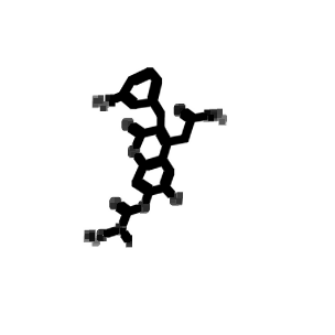 CN(I)C(=O)Oc1cc2oc(=O)c(Cc3cccc(N)c3)c(CC(N)=O)c2cc1Cl